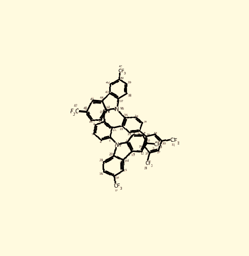 N#Cc1cccc(-n2c3ccc(C(F)(F)F)cc3c3cc(C(F)(F)F)ccc32)c1-c1cc(-c2cc(C(F)(F)F)cc(C(F)(F)F)c2)ccc1-n1c2ccc(C(F)(F)F)cc2c2cc(C(F)(F)F)ccc21